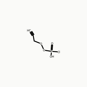 C#CCOOP(=O)(O)Cl